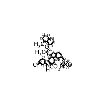 C[C@@H](COc1ccnc2c1[C@H](C)CCC2)C[C@H]1Cc2ccc(CN3CCC34COC4)cc2C12CCC(Nc1cccc(Cl)c1)(C(=O)O)CC2